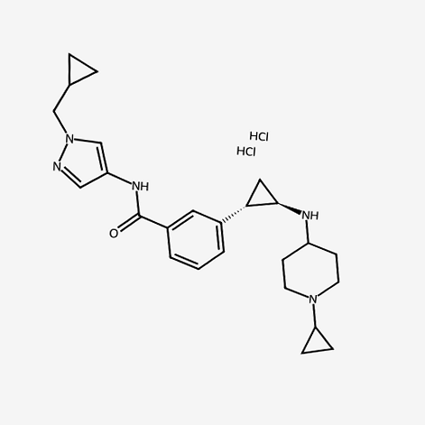 Cl.Cl.O=C(Nc1cnn(CC2CC2)c1)c1cccc([C@@H]2C[C@H]2NC2CCN(C3CC3)CC2)c1